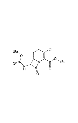 CC(C)(C)OC(=O)NC1C(=O)N2C(C(=O)OC(C)(C)C)=C(Cl)CCC12